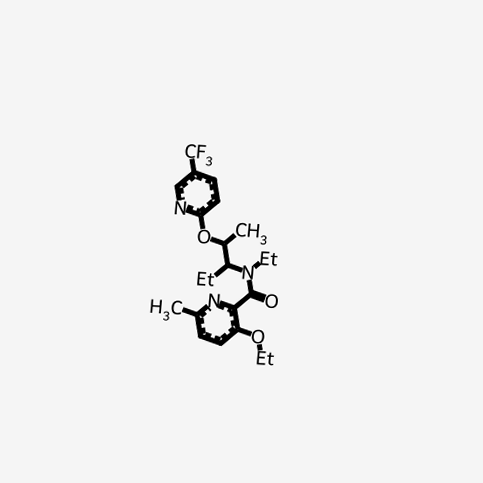 CCOc1ccc(C)nc1C(=O)N(CC)C(CC)C(C)Oc1ccc(C(F)(F)F)cn1